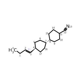 CC/C=C/[C@H]1CC[C@H](C2CCC(C#N)CC2)CC1